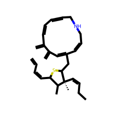 C=C/C=C\C1SC(CC2=C/C(=C)C(=C)/C=C\C=C/CNC/C=C\2)[C@@](C)(/C=C\CC)C1C